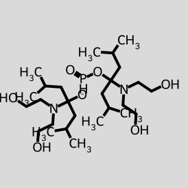 CC(C)CC(CC(C)C)(O[PH](=O)OC(CC(C)C)(CC(C)C)N(CCO)CCO)N(CCO)CCO